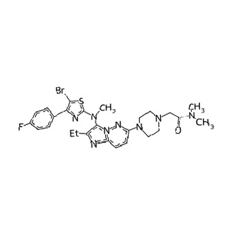 CCc1nc2ccc(N3CCN(CC(=O)N(C)C)CC3)nn2c1N(C)c1nc(-c2ccc(F)cc2)c(Br)s1